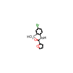 O=C([AsH]c1ccc(Br)cc1C(=O)O)c1ccco1